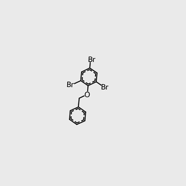 Brc1cc(Br)c(OCc2ccccc2)c(Br)c1